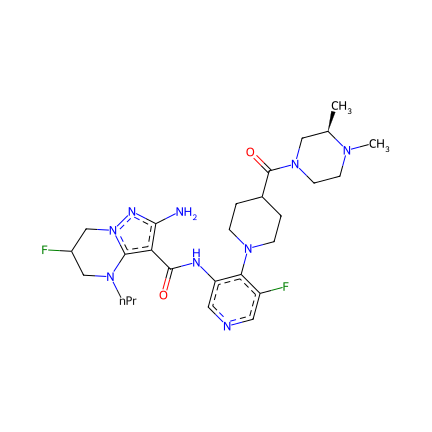 CCCN1CC(F)Cn2nc(N)c(C(=O)Nc3cncc(F)c3N3CCC(C(=O)N4CCN(C)[C@H](C)C4)CC3)c21